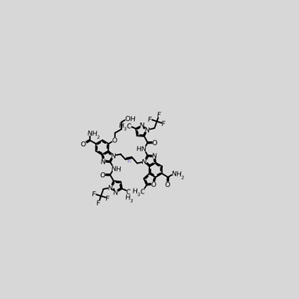 Cc1cc(C(=O)Nc2nc3cc(C(N)=O)cc(OCCCO)c3n2C/C=C/Cn2c(NC(=O)c3cc(C)nn3CC(F)(F)F)nc3cc(C(N)=O)c4oc(C)cc4c32)n(CC(F)(F)F)n1